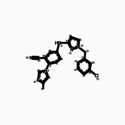 Cc1cn(-c2ccc(Nc3ccn(Cc4cccc(Cl)c4)n3)cc2C#N)cn1